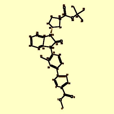 COC(=O)c1ccc(-c2ccc(-n3c(=O)n([C@@H]4CCN(C(=O)OC(C)(C)C)C4)c4ncccc43)c(C)c2)cc1